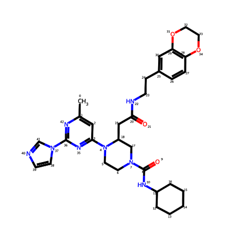 Cc1cc(N2CCN(C(=O)NC3CCCCC3)CC2CC(=O)NCCc2ccc3c(c2)OCCO3)nc(-n2ccnc2)n1